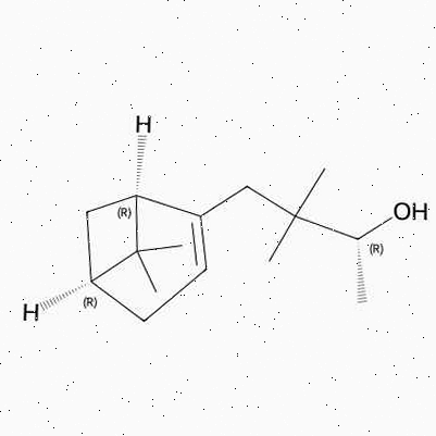 C[C@@H](O)C(C)(C)CC1=CC[C@H]2C[C@@H]1C2(C)C